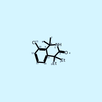 CCC1(CC)C(=O)NC(C)(C)c2c(Cl)cccc21